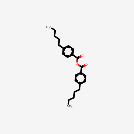 CCCCCc1ccc(C(=O)OC(=O)c2ccc(CCCCC)cc2)cc1